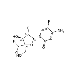 Nc1nc(=O)n([C@@H]2O[C@@](CO)(C(F)Cl)[C@@H](O)[C@@H]2F)cc1F